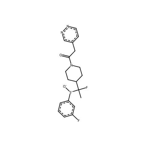 CC(F)(C1CCN(C(=O)Cc2ccnnc2)CC1)[S+]([O-])c1cccc(F)c1